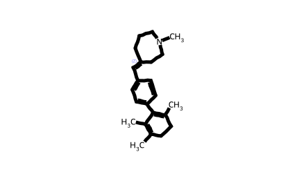 CC1=C(C)C(c2ccc(/C=C3/CCCN(C)CC3)cc2)=C(C)CC1